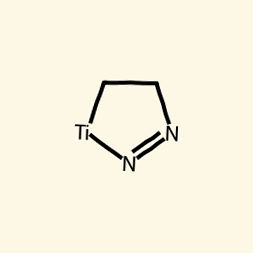 C1[CH2][Ti][N]=N1